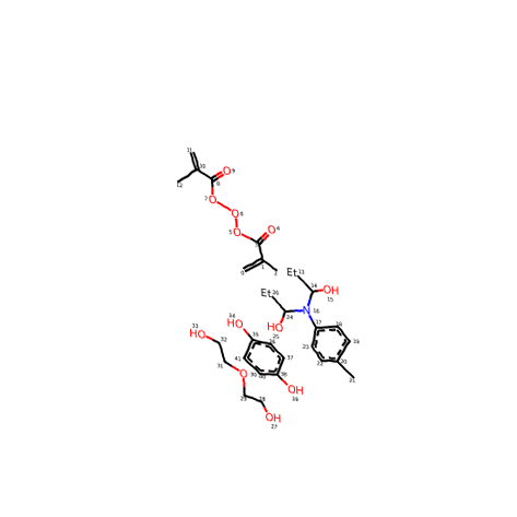 C=C(C)C(=O)OOOC(=O)C(=C)C.CCC(O)N(c1ccc(C)cc1)C(O)CC.OCCOCCO.Oc1ccc(O)cc1